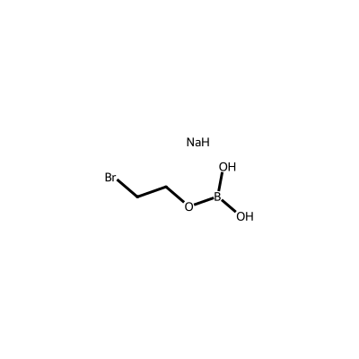 OB(O)OCCBr.[NaH]